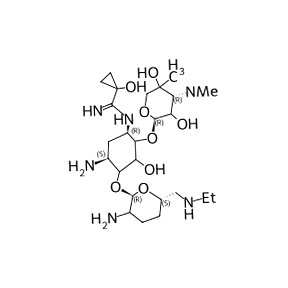 CCNC[C@@H]1CCC(N)[C@@H](OC2C(O)C(O[C@H]3OCC(C)(O)[C@H](NC)C3O)[C@H](NC(=N)C3(O)CC3)C[C@@H]2N)O1